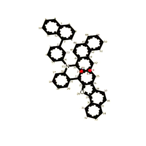 c1cc(-c2cccc3ccccc23)cc(N(c2ccccc2-c2cccc3c2oc2c4ccccc4ccc32)c2cccc3c2ccc2ccccc23)c1